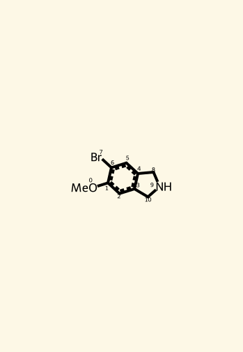 COc1cc2c(cc1Br)CNC2